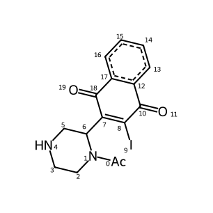 CC(=O)N1CCNCC1C1=C(I)C(=O)c2ccccc2C1=O